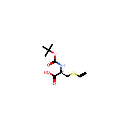 C=CSC[C@H](NC(=O)OC(C)(C)C)C(=O)O